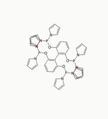 c1cc(OP(n2cccc2)n2cccc2)c(-c2c(OP(n3cccc3)n3cccc3)cccc2OP(n2cccc2)n2cccc2)c(OP(n2cccc2)n2cccc2)c1